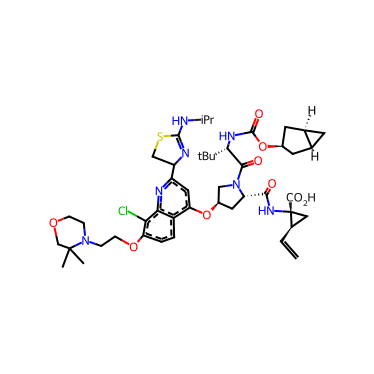 C=C[C@@H]1C[C@]1(NC(=O)[C@@H]1C[C@@H](Oc2cc(C3CSC(NC(C)C)=N3)nc3c(Cl)c(OCCN4CCOCC4(C)C)ccc23)CN1C(=O)[C@@H](NC(=O)O[C@@H]1C[C@@H]2C[C@@H]2C1)C(C)(C)C)C(=O)O